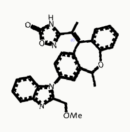 COCc1nc2ccccc2n1-c1ccc2c(c1)C(C)Oc1ccccc1/C2=C(\C)c1noc(=O)[nH]1